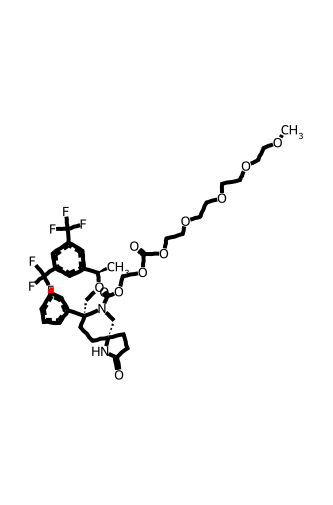 COCCOCCOCCOCCOC(=O)OCOC(=O)N1C[C@@]2(CCC(=O)N2)CC[C@@]1(CO[C@H](C)c1cc(C(F)(F)F)cc(C(F)(F)F)c1)c1ccccc1